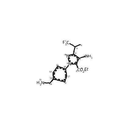 CCOC(=O)c1c(N)c(C(C)C(F)(F)F)nn1-c1ccc(CN)cc1